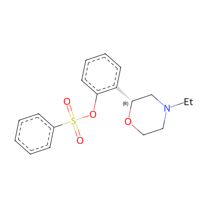 CCN1CCO[C@H](c2ccccc2OS(=O)(=O)c2ccccc2)C1